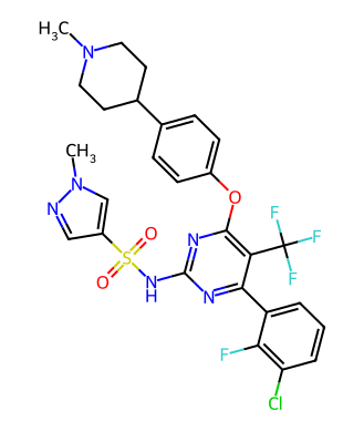 CN1CCC(c2ccc(Oc3nc(NS(=O)(=O)c4cnn(C)c4)nc(-c4cccc(Cl)c4F)c3C(F)(F)F)cc2)CC1